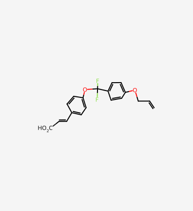 C=CCOc1ccc(C(F)(F)Oc2ccc(/C=C/C(=O)O)cc2)cc1